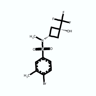 Cc1cc(S(=O)(=O)N(C)[C@H]2C[C@](O)(C(F)(F)F)C2)ccc1Br